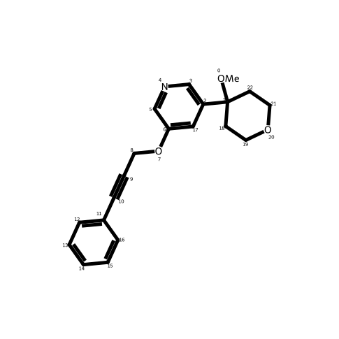 COC1(c2cncc(OCC#Cc3ccccc3)c2)CCOCC1